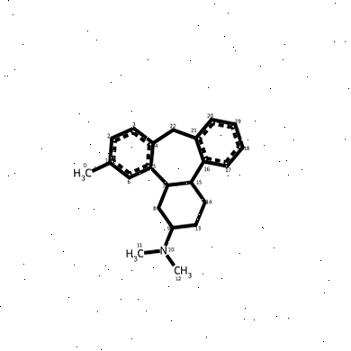 Cc1ccc2c(c1)C1CC(N(C)C)CCC1c1ccccc1C2